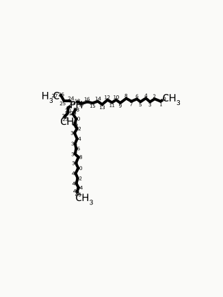 CCCCCCCCCCCCCCCCCCC[PH](CCCC)(CCCC)CCCCCCCCCCCCCCCCCCC